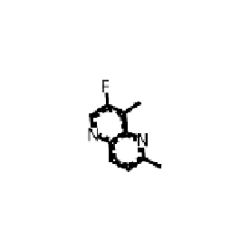 Cc1ccc2ncc(F)c(C)c2n1